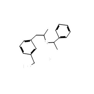 CC(Cc1cccc(CO)c1)NC(C)c1ccccc1.Cl